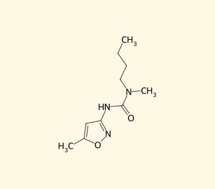 CCCCN(C)C(=O)Nc1cc(C)on1